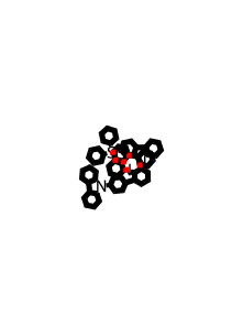 c1ccc(-c2ccccc2-n2c3cc(-n4c5ccccc5c5ccccc54)ccc3c3cccc(-n4c5ccccc5c5ccc([Si](c6ccccc6)(c6ccccc6)c6ccccc6)cc54)c32)cc1